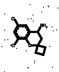 NC1CC2(CCC2)Oc2c(Cl)cc(Cl)cc21